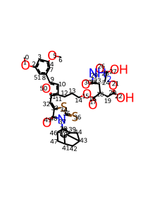 COc1cc(OC)cc(-c2cc(CCCOC(=O)[C@H](CC(=O)O)[C@@H](CC(=O)O)C(N)=O)c(C=C3SC(=S)N(C4C5CC6CC(C5)CC4C6)C3=O)o2)c1